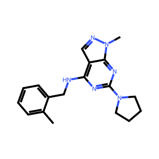 Cc1ccccc1CNc1nc(N2CCCC2)nc2c1cnn2C